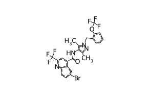 Cc1nn(Cc2ccccc2OC(F)(F)F)c(C)c1NC(=O)c1cc(C(F)(F)F)nc2ccc(Br)cc12